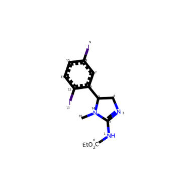 CCOC(=O)NC1=NCC(c2cc(I)ccc2I)N1C